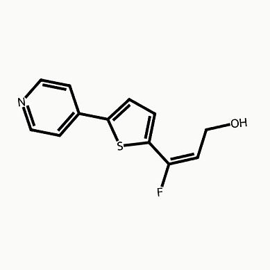 OC/C=C(/F)c1ccc(-c2ccncc2)s1